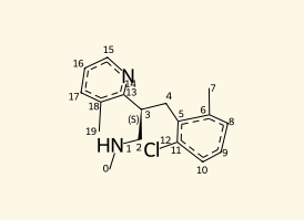 CNC[C@H](Cc1c(C)cccc1Cl)c1ncccc1C